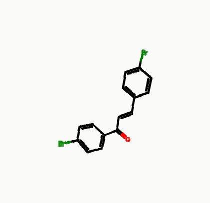 O=C(C=Cc1ccc(Br)cc1)c1ccc(Br)cc1